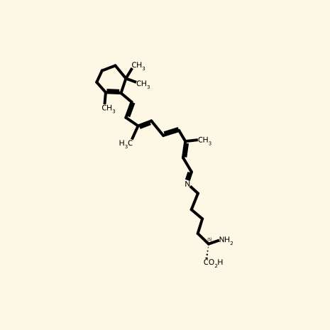 CC(C=CC1=C(C)CCCC1(C)C)=CC=CC(C)=CC=NCCCC[C@H](N)C(=O)O